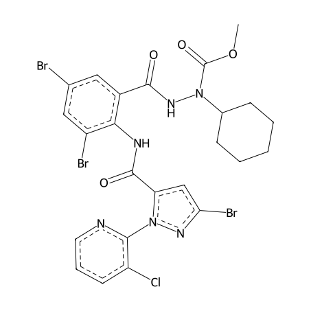 COC(=O)N(NC(=O)c1cc(Br)cc(Br)c1NC(=O)c1cc(Br)nn1-c1ncccc1Cl)C1CCCCC1